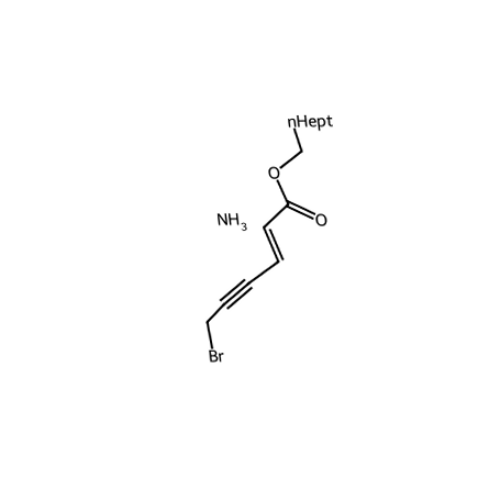 CCCCCCCCOC(=O)C=CC#CCBr.N